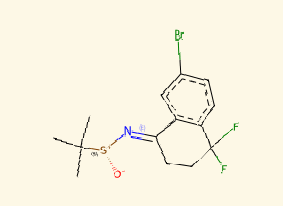 CC(C)(C)[S@@+]([O-])/N=C1\CCC(F)(F)c2ccc(Br)cc21